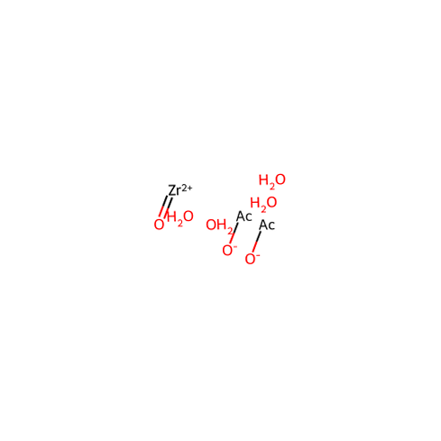 CC(=O)[O-].CC(=O)[O-].O.O.O.O.[O]=[Zr+2]